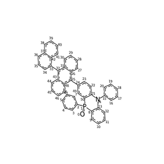 O=P1(c2ccccc2)c2ccccc2N(c2ccccc2)c2ccc(-c3c4ccccc4c(-c4cccc5ccccc45)c4ccccc34)cc21